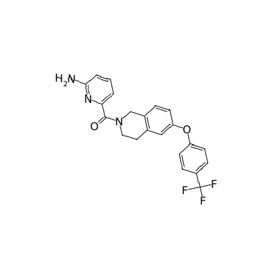 Nc1cccc(C(=O)N2CCc3cc(Oc4ccc(C(F)(F)F)cc4)ccc3C2)n1